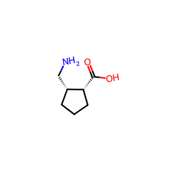 NC[C@H]1CCC[C@H]1C(=O)O